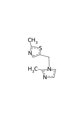 Cc1ncc(Cn2ccnc2C)s1